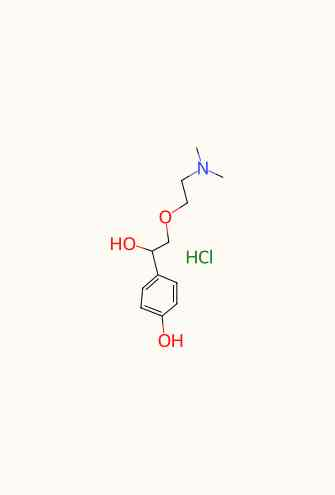 CN(C)CCOCC(O)c1ccc(O)cc1.Cl